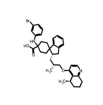 C[C@@H](COc1ccnc2c1[C@H](C)CCC2)C[C@H]1Cc2ccccc2C12CCC(Nc1cccc(Br)c1)(C(=O)O)CC2